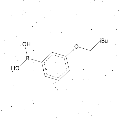 CCC(C)COc1cccc(B(O)O)c1